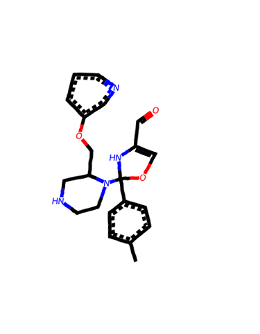 Cc1ccc(C2(N3CCNCC3COc3cccnc3)NC(C=O)=CO2)cc1